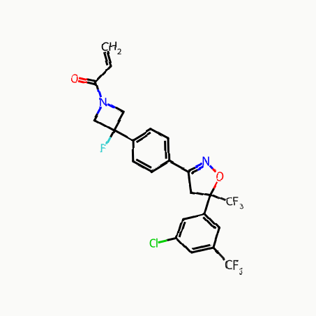 C=CC(=O)N1CC(F)(c2ccc(C3=NOC(c4cc(Cl)cc(C(F)(F)F)c4)(C(F)(F)F)C3)cc2)C1